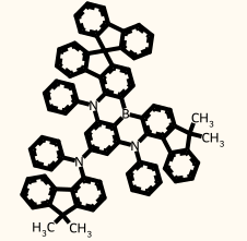 CC1(C)c2ccccc2-c2c(N(c3ccccc3)c3cc4c5c(c3)N(c3ccccc3)c3c(ccc6c3-c3ccccc3C63c6ccccc6-c6ccccc63)B5c3ccc5c(c3N4c3ccccc3)-c3ccccc3C5(C)C)cccc21